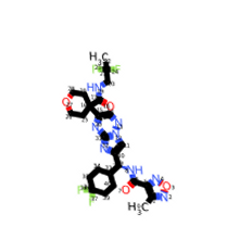 Cc1nonc1C(=O)N[C@H](c1cn2ncc(C3(C(=O)NCC(C)(F)F)CCOCC3)nc2n1)C1CCC(F)(F)CC1